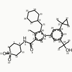 Cc1c(C(=O)NC2CCS(=O)(=O)CC2)cn(-c2cc(C(C)(C)O)cc(C3(C)CC3)c2)c1CC1CCCCC1